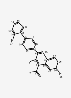 C=C(C)c1c(C)c(-c2ccc(-c3ccccc3F)cc2)nc2c1=CC(F)CC=2